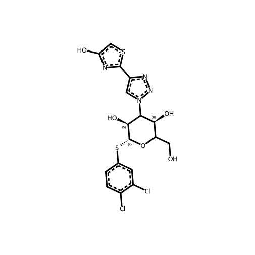 OCC1O[C@H](Sc2ccc(Cl)c(Cl)c2)[C@@H](O)C(n2cc(-c3nc(O)cs3)nn2)[C@H]1O